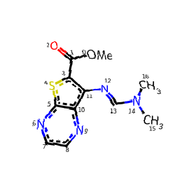 COC(=O)c1sc2nccnc2c1N=CN(C)C